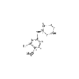 CCc1cc(C[C@@H]2CNCCO2)ccc1OC